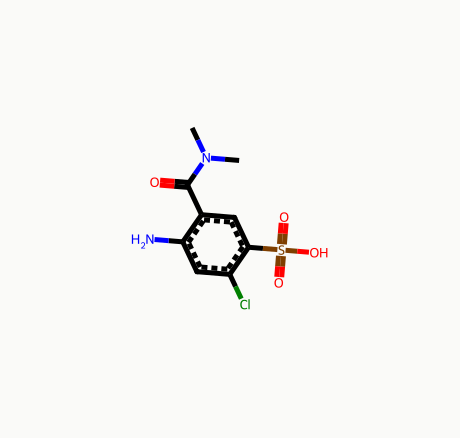 CN(C)C(=O)c1cc(S(=O)(=O)O)c(Cl)cc1N